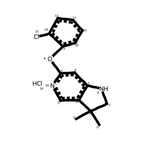 CC1(C)CNc2cc(Oc3ccccc3Cl)ncc21.Cl